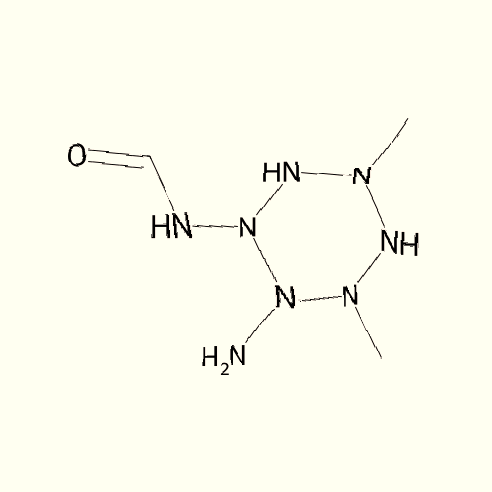 CN1NN(C)N(N)N(NC=O)N1